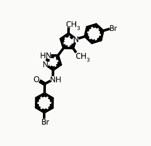 Cc1cc(-c2cc(NC(=O)c3ccc(Br)cc3)n[nH]2)c(C)n1-c1ccc(Br)cc1